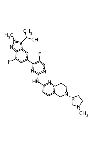 CC(C)c1c2cc(-c3nc(Nc4ccc5c(n4)CCN([C@@H]4CCN(C)C4)C5)ncc3F)cc(F)c2nn1C